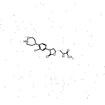 CC(=O)NC[C@H]1CN(c2ccc(N3CCNOCC3)c(F)c2)C(=O)O1